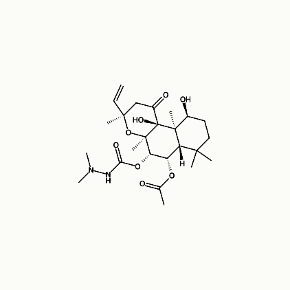 C=C[C@@]1(C)CC(=O)[C@]2(O)[C@@]3(C)[C@@H](O)CCC(C)(C)[C@@H]3[C@H](OC(C)=O)[C@H](OC(=O)NN(C)C)[C@@]2(C)O1